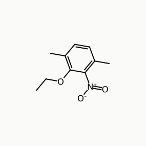 CCOc1c(C)ccc(C)c1[N+](=O)[O-]